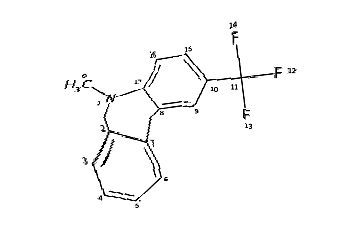 Cn1c2cc[c]cc2c2cc(C(F)(F)F)ccc21